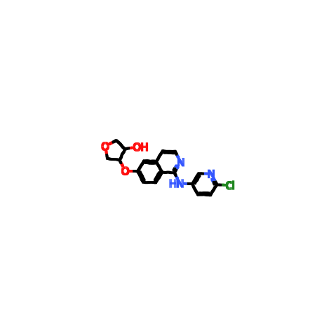 OC1COCC1Oc1ccc2c(Nc3ccc(Cl)nc3)nccc2c1